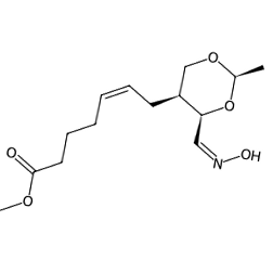 COC(=O)CCC/C=C\C[C@H]1CO[C@@H](C)O[C@H]1/C=N\O